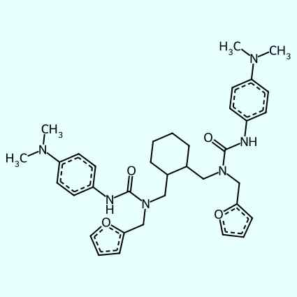 CN(C)c1ccc(NC(=O)N(Cc2ccco2)CC2CCCCC2CN(Cc2ccco2)C(=O)Nc2ccc(N(C)C)cc2)cc1